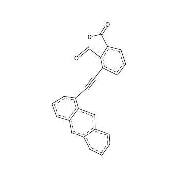 O=C1OC(=O)c2c(C#Cc3cccc4cc5ccccc5cc34)cccc21